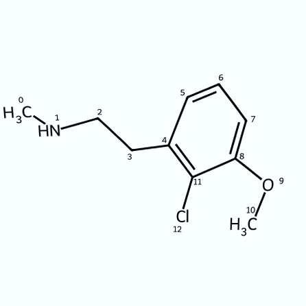 CNCCc1cccc(OC)c1Cl